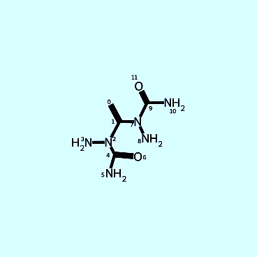 C=C(N(N)C(N)=O)N(N)C(N)=O